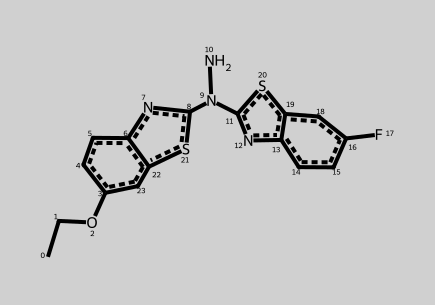 CCOc1ccc2nc(N(N)c3nc4ccc(F)cc4s3)sc2c1